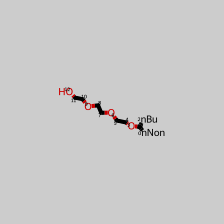 CCCCCCCCCC(CCCC)OCCOCCOCCO